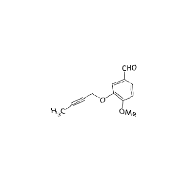 CC#CCOc1cc(C=O)ccc1OC